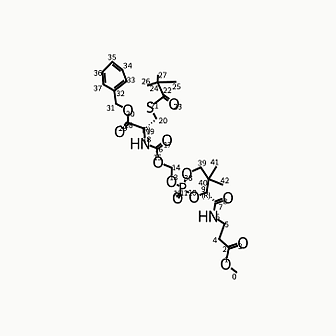 COC(=O)CCNC(=O)[C@@H]1OP(=O)(OCOC(=O)N[C@@H](CSC(=O)C(C)(C)C)C(=O)OCc2ccccc2)OCC1(C)C